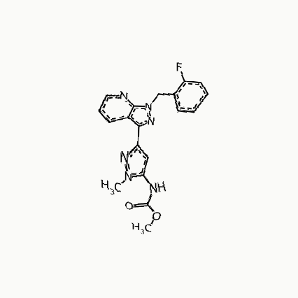 COC(=O)Nc1cc(-c2nn(Cc3ccccc3F)c3ncccc23)nn1C